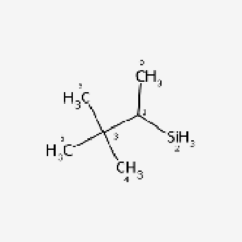 CC([SiH3])C(C)(C)C